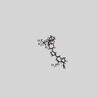 COc1cc(-c2cnn(C3CCN(C(=O)N4C5CC4CN(C(=O)OC(C)(C)C)C5)CC3)c2)cn2ncc(C#N)c12